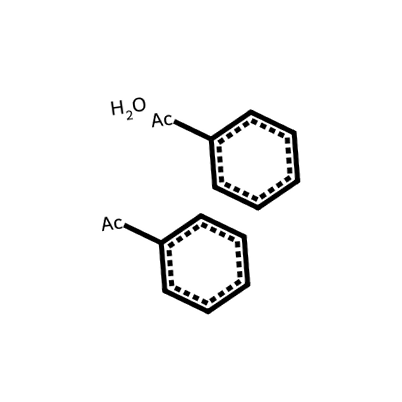 CC(=O)c1ccccc1.CC(=O)c1ccccc1.O